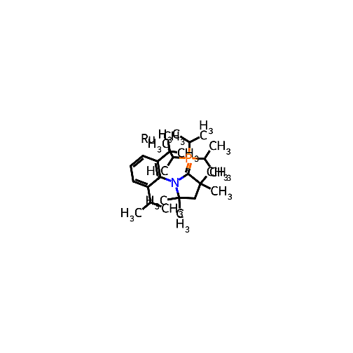 CC(C)c1cccc(C(C)C)c1N1C(=P(C(C)C)(C(C)C)C(C)C)C(C)(C)CC1(C)C.[Ru]